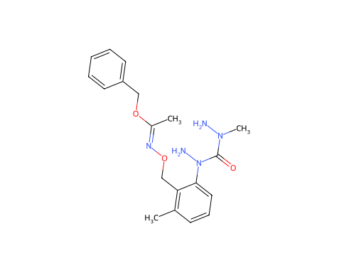 C/C(=N\OCc1c(C)cccc1N(N)C(=O)N(C)N)OCc1ccccc1